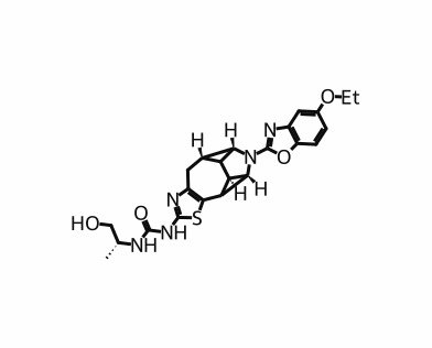 CCOc1ccc2oc(N3[C@@H]4C5c6sc(NC(=O)N[C@H](C)CO)nc6C[C@H]6C([C@H]54)[C@H]63)nc2c1